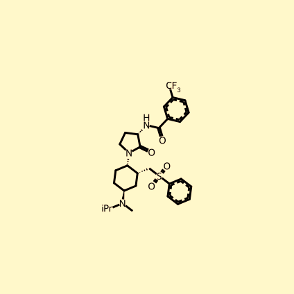 CC(C)N(C)[C@H]1CC[C@H](N2CC[C@H](NC(=O)c3cccc(C(F)(F)F)c3)C2=O)[C@H](CS(=O)(=O)c2ccccc2)C1